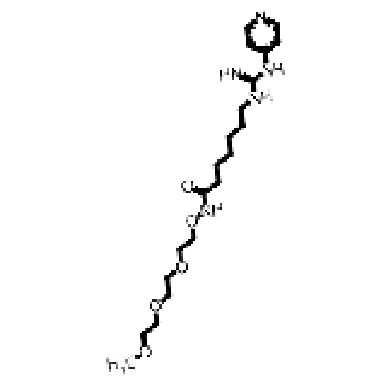 COCCOCCOCCONC(=O)CCCCCCNC(=N)Nc1ccncc1